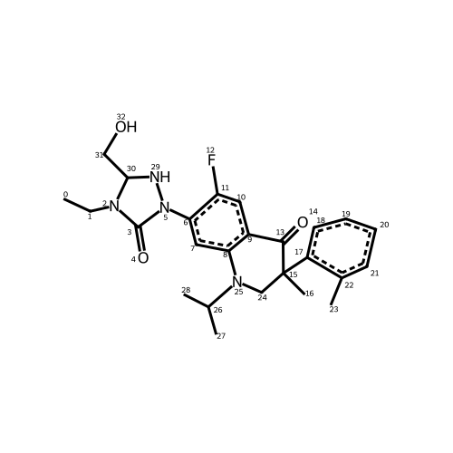 CCN1C(=O)N(c2cc3c(cc2F)C(=O)C(C)(c2ccccc2C)CN3C(C)C)NC1CO